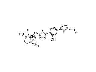 Cc1ccn(-c2ccc(-c3nnc(OC4CC5(C)CCC(C)(C4F)N5C)s3)c(O)c2)n1